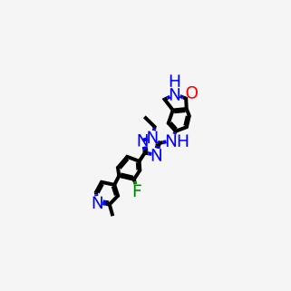 CCn1nc(-c2ccc(-c3ccnc(C)c3)c(F)c2)nc1Nc1ccc2c(c1)CNC2=O